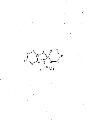 CC(=O)OC1(CN2CCOCC2)CCCCC1